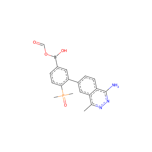 Cc1nnc(N)c2ccc(-c3cc(B(O)OC=O)ccc3P(C)(C)=O)cc12